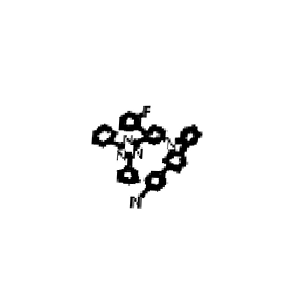 N#Cc1ccc(-c2ccc3c4ccccc4n(-c4ccc(-c5ccccc5F)c(-c5nc(-c6ccccc6)nc(-c6ccccc6)n5)c4)c3c2)cc1